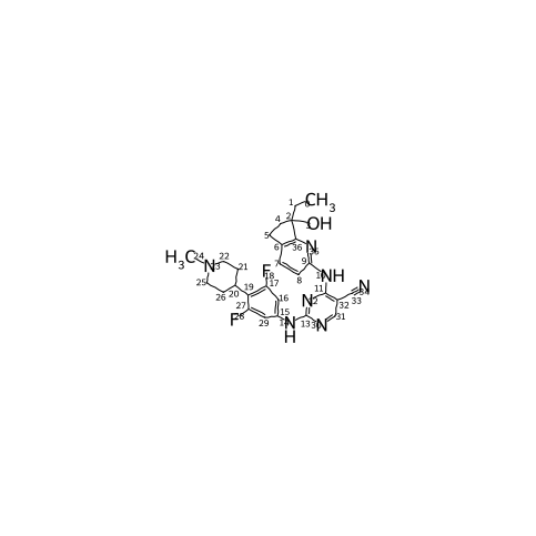 CCC1(O)CCc2ccc(Nc3nc(Nc4cc(F)c(C5CCN(C)CC5)c(F)c4)ncc3C#N)nc21